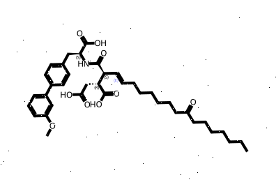 CCCCCCCC(=O)CCCCCC/C=C/[C@H](C(=O)N[C@@H](Cc1ccc(-c2cccc(OC)c2)cc1)C(=O)O)[C@@H](CC(=O)O)C(=O)O